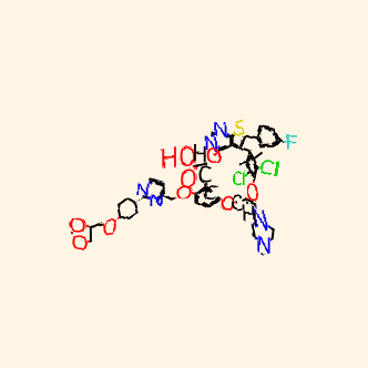 Cc1c(Cl)c2c(Cl)c(C)c1-c1c(-c3ccc(F)cc3)sc3ncnc(c13)O[C@@H](C(=O)O)Cc1cc(ccc1OCc1ccnc([C@H]3CC[C@H](OCC4COCO4)CC3)n1)OC[C@@H](CN1CCN(C)CC1)O2